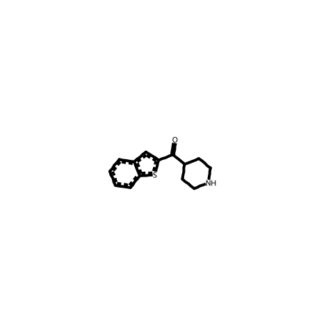 O=C(c1cc2ccccc2s1)C1CCNCC1